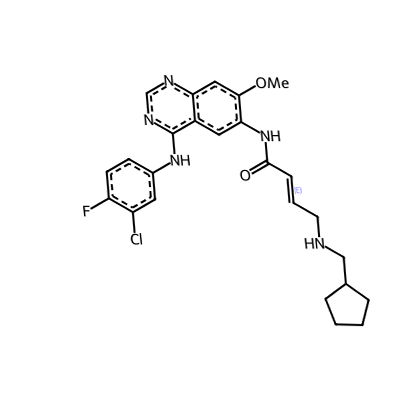 COc1cc2ncnc(Nc3ccc(F)c(Cl)c3)c2cc1NC(=O)/C=C/CNCC1CCCC1